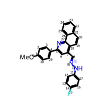 COc1ccc(-c2cc(/C=N/Nc3ccc(F)cc3)c3ccc4ccccc4c3n2)cc1